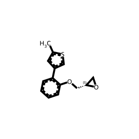 Cc1cc(-c2ccccc2OC[C@@H]2CO2)cs1